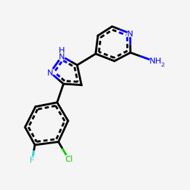 Nc1cc(-c2cc(-c3ccc(F)c(Cl)c3)n[nH]2)ccn1